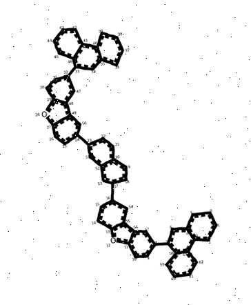 c1ccc2c(c1)cc(-c1ccc3oc4ccc(-c5ccc6ccc(-c7ccc8oc9ccc(-c%10cc%11ccccc%11c%11ccccc%10%11)cc9c8c7)cc6c5)cc4c3c1)c1ccccc12